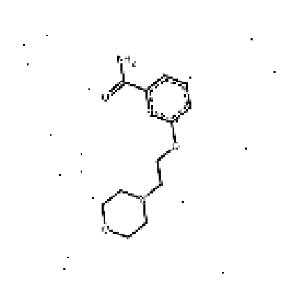 NC(=O)c1[c]ccc(OCCN2CCOCC2)n1